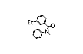 CCc1cccc(C(=O)N(C)c2ccccc2)c1